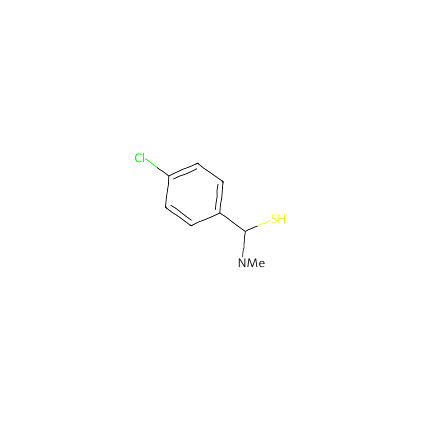 CNC(S)c1ccc(Cl)cc1